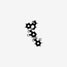 O=C(Nc1ccc(C(=O)N2CCc3ccsc3-c3ccccc32)c(Cl)c1)c1ccccc1Cl